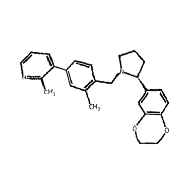 Cc1cc(-c2cccnc2C)ccc1CN1CCC[C@H]1c1ccc2c(c1)OCCO2